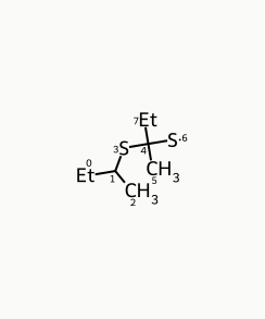 CCC(C)SC(C)([S])CC